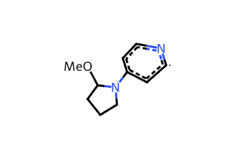 COC1CCCN1c1c[c]ncc1